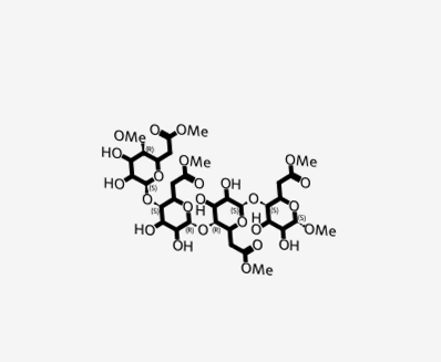 COC(=O)CC1O[C@H](O[C@H]2C(CC(=O)OC)O[C@@H](O[C@@H]3C(CC(=O)OC)O[C@H](OC)C(O)C3O)C(O)C2O)C(O)C(O)[C@@H]1O[C@@H]1OC(CC(=O)OC)[C@H](OC)C(O)C1O